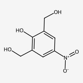 O=[N+]([O-])c1cc(CO)c(O)c(CO)c1